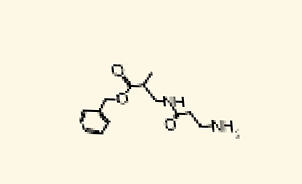 CC(CNC(=O)CCN)C(=O)OCc1ccccc1